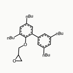 CCCCc1cc(CCCC)cc(-c2cc(CCCC)cc(CCCC)c2OCC2CO2)c1